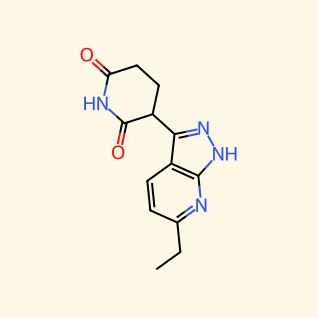 CCc1ccc2c(C3CCC(=O)NC3=O)n[nH]c2n1